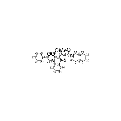 COc1c(C(=O)N2CCc3ccccc3C2)sc2c1c(=O)n(CC(=O)c1ccccc1)c1ccccc21